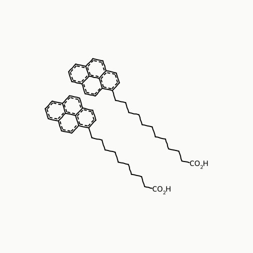 O=C(O)CCCCCCCCCCCc1ccc2ccc3cccc4ccc1c2c34.O=C(O)CCCCCCCCCc1ccc2ccc3cccc4ccc1c2c34